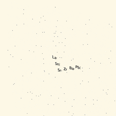 [Ba].[La].[Pb].[Sn].[Sr].[Zr]